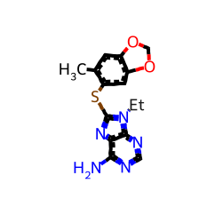 CCn1c(Sc2cc3c(cc2C)OCO3)nc2c(N)ncnc21